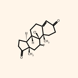 C[C@]12CCC(=O)C=C1CC[C@H]1[C@@H]3CCC(=O)[C@@]3(C)CC(F)[C@]12Cl